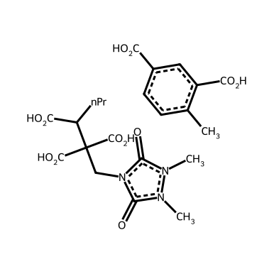 CCCC(C(=O)O)C(Cn1c(=O)n(C)n(C)c1=O)(C(=O)O)C(=O)O.Cc1ccc(C(=O)O)cc1C(=O)O